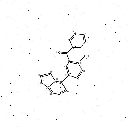 O=C(c1cccnc1)c1cc(-c2cccc3[nH]ccc23)ccc1O